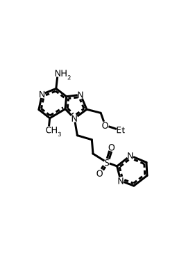 CCOCc1nc2c(N)ncc(C)c2n1CCCS(=O)(=O)c1ncccn1